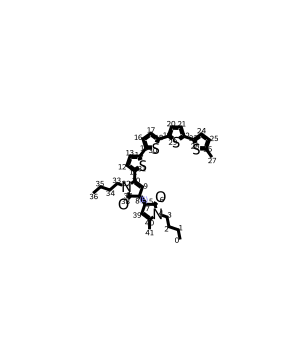 CCCCN1C(=O)/C(=C2\C=C(c3ccc(-c4ccc(-c5ccc(-c6ccc(C)s6)s5)s4)s3)N(CCCC)C2=O)C=C1C